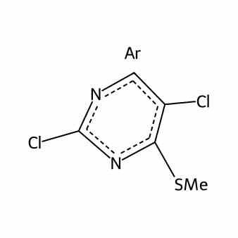 CSc1nc(Cl)ncc1Cl.[Ar]